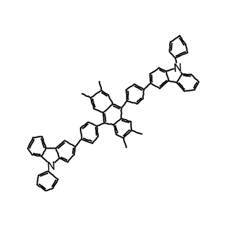 Cc1cc2c(-c3ccc(-c4ccc5c(c4)c4ccccc4n5-c4ccccc4)cc3)c3cc(C)c(C)cc3c(-c3ccc(-c4ccc5c(c4)c4ccccc4n5-c4ccccc4)cc3)c2cc1C